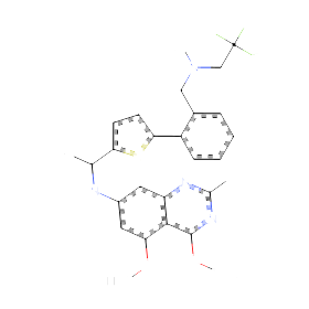 COc1cc(NC(C)c2ccc(-c3ccccc3CN(C)CC(F)(F)F)s2)cc2nc(C)nc(OC)c12